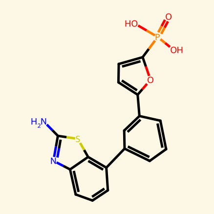 Nc1nc2cccc(-c3cccc(-c4ccc(P(=O)(O)O)o4)c3)c2s1